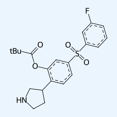 CC(C)(C)C(=O)Oc1cc(S(=O)(=O)c2cccc(F)c2)ccc1C1CCNC1